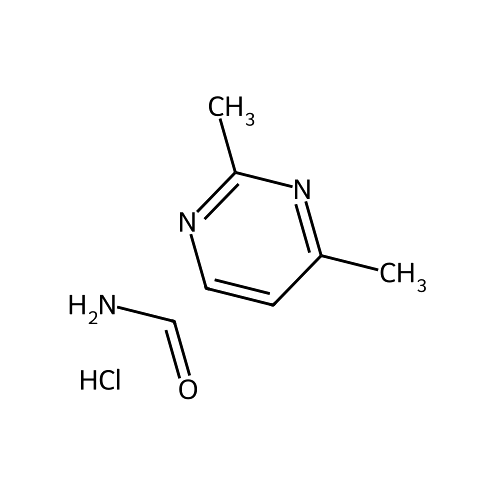 Cc1ccnc(C)n1.Cl.NC=O